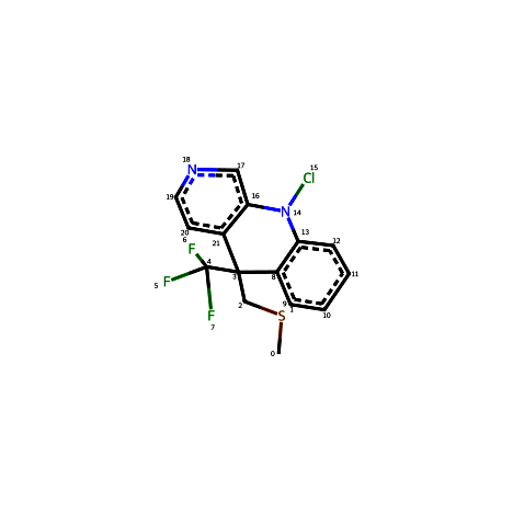 CSCC1(C(F)(F)F)c2ccccc2N(Cl)c2cnccc21